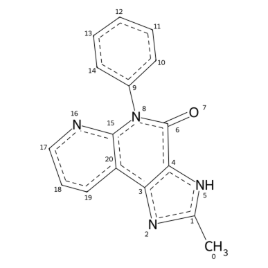 Cc1nc2c([nH]1)c(=O)n(-c1ccccc1)c1ncccc21